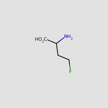 NC(CCF)C(=O)O